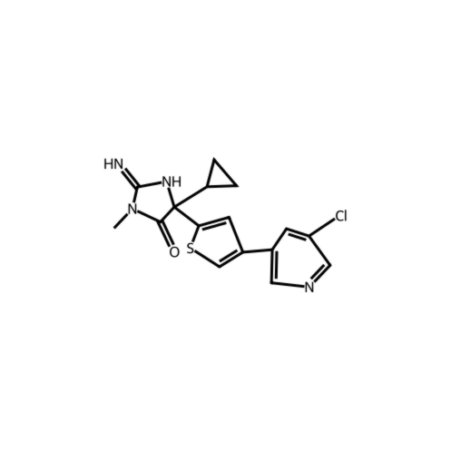 CN1C(=N)NC(c2cc(-c3cncc(Cl)c3)cs2)(C2CC2)C1=O